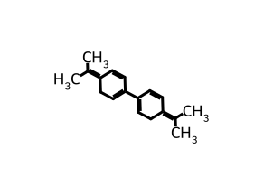 CC(C)=C1C=CC(C2=CCC(=C(C)C)C=C2)=CC1